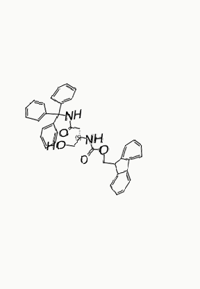 O=C(C[C@@H](CO)NC(=O)OCC1c2ccccc2-c2ccccc21)NC(c1ccccc1)(c1ccccc1)c1ccccc1